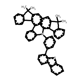 CC1(C)c2ccccc2-c2c(-c3ccccc3N(c3cccc(-c4cccc5c4sc4ccccc45)c3)c3cccc4c3-c3ccccc3C4(C)C)cccc21